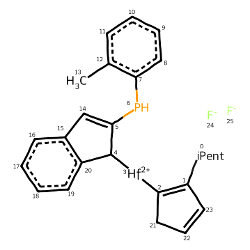 CCCC(C)C1=[C]([Hf+2][CH]2C(Pc3ccccc3C)=Cc3ccccc32)CC=C1.[F-].[F-]